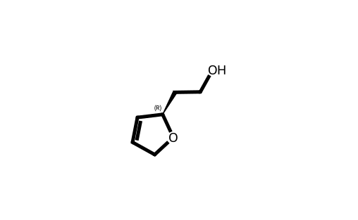 OCC[C@@H]1C=CCO1